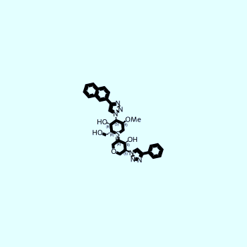 CO[C@H]1C[SH]([C@@H]2COC[C@H](n3cc(-c4ccccc4)nn3)[C@H]2O)[C@H](CO)[C@H](O)[C@@H]1n1cc(-c2ccc3ccccc3c2)nn1